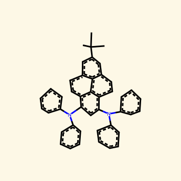 CC(C)(C)c1cc2ccc3c(N(c4ccccc4)c4ccccc4)cc(N(c4ccccc4)c4ccccc4)c4ccc(c1)c2c34